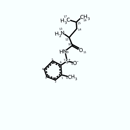 Cc1ccccc1[S+]([O-])NC(=O)C(N)CC(C)C